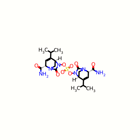 CC(C)C1=C[C@@H](C(N)=O)N2C[C@@H]1N(OS(=O)(=O)ON1C(=O)N3C[C@H]1C(C(C)C)=C[C@H]3C(N)=O)C2=O